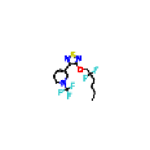 CCCCC(F)(F)COc1nsnc1C1=CCCN(C(F)(F)F)C1